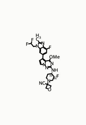 COc1nc(N[C@H]2CCN(C3(C#N)COC3)C[C@H]2F)nn2ccc(-c3cc(F)c4nc(C)n(CC(F)F)c4c3)c12